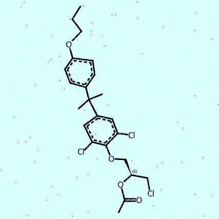 [CH2][CH]COc1ccc(C(C)(C)c2cc(Cl)c(OC[C@@H](CCl)OC(C)=O)c(Cl)c2)cc1